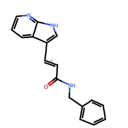 O=C(/C=C/c1c[nH]c2ncccc12)NCc1ccccc1